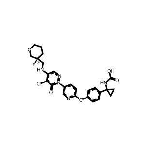 O=C(O)NC1(c2ccc(Oc3ccc(-n4ncc(NC[C@@]5(F)CCCOC5)c(Cl)c4=O)cn3)cc2)CC1